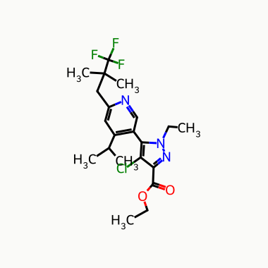 CCOC(=O)c1nn(CC)c(-c2cnc(CC(C)(C)C(F)(F)F)cc2C(C)C)c1Cl